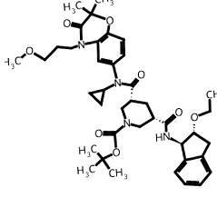 CCO[C@@H]1Cc2ccccc2[C@H]1NC(=O)[C@H]1C[C@@H](C(=O)N(c2ccc3c(c2)N(CCCOC)C(=O)C(C)(C)O3)C2CC2)CN(C(=O)OC(C)(C)C)C1